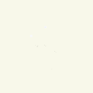 C/C(N)=C/C(=C\C1CCCC1)CNCC[C@@]1(c2ccccn2)CCOC2(CCCC2)C1